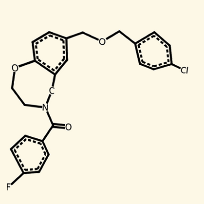 O=C(c1ccc(F)cc1)N1CCOc2ccc(COCc3ccc(Cl)cc3)cc2C1